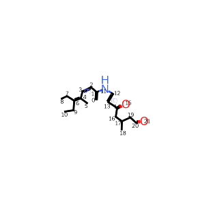 C=C(/C=C\C(C)=C(CC)CC)N/C=C/C(=O)CC(C)CC=O